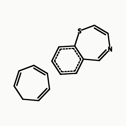 C1=CC=CCC=C1.C1=CSc2ccccc2C=N1